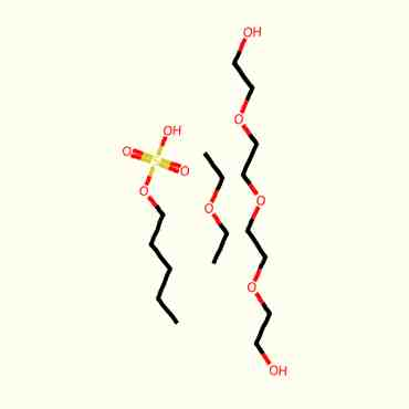 CCCCCOS(=O)(=O)O.CCOCC.OCCOCCOCCOCCO